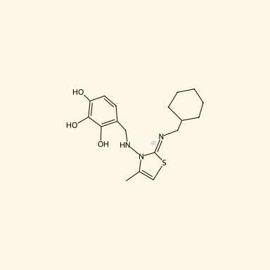 Cc1cs/c(=N\CC2CCCCC2)n1NCc1ccc(O)c(O)c1O